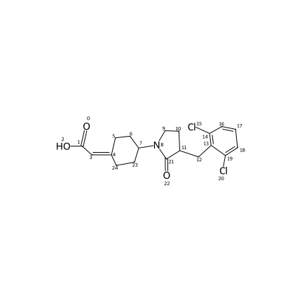 O=C(O)C=C1CCC(N2CCC(Cc3c(Cl)cccc3Cl)C2=O)CC1